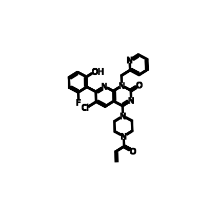 C=CC(=O)N1CCN(c2nc(=O)n(Cc3ccccn3)c3nc(-c4c(O)cccc4F)c(Cl)cc23)CC1